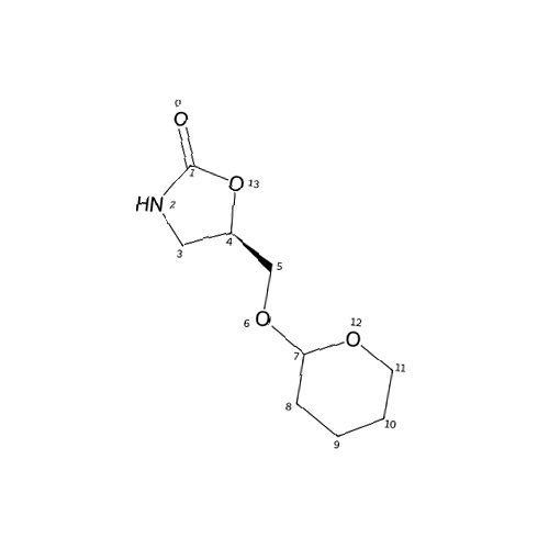 O=C1NC[C@H](COC2CCCCO2)O1